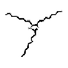 CCCCCCCCc1nc(CCCCCCCC)c(CCCCCCCC)[nH]1